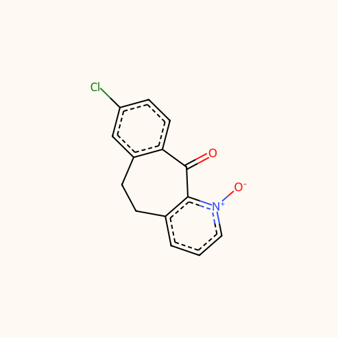 O=C1c2ccc(Cl)cc2CCc2ccc[n+]([O-])c21